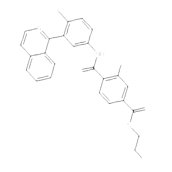 O=C(NCCO)c1ccc(C(=O)Nc2ccc(Cl)c(-c3nccc4ccccc34)c2)c(Cl)c1